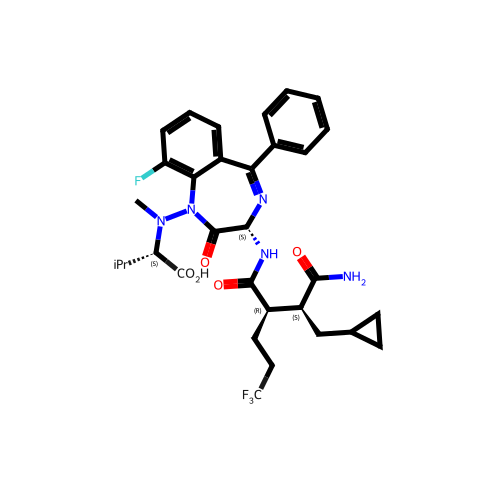 CC(C)[C@@H](C(=O)O)N(C)N1C(=O)[C@@H](NC(=O)[C@H](CCC(F)(F)F)[C@H](CC2CC2)C(N)=O)N=C(c2ccccc2)c2cccc(F)c21